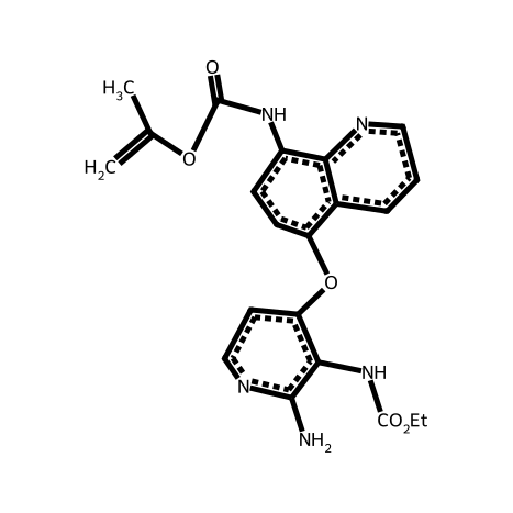 C=C(C)OC(=O)Nc1ccc(Oc2ccnc(N)c2NC(=O)OCC)c2cccnc12